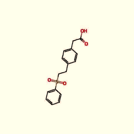 O=C(O)Cc1ccc(CCS(=O)(=O)c2ccccc2)cc1